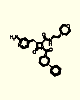 Nc1cc(C[C@H]2C(=O)N(C(=O)N3CCC[C@@H](c4ccccc4)C3)[C@@H]2C(=O)NCCN2CCOCC2)ccn1